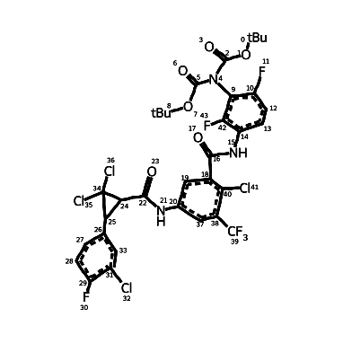 CC(C)(C)OC(=O)N(C(=O)OC(C)(C)C)c1c(F)ccc(NC(=O)c2cc(NC(=O)C3C(c4ccc(F)c(Cl)c4)C3(Cl)Cl)cc(C(F)(F)F)c2Cl)c1F